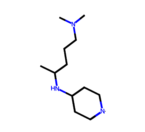 CC(CCCN(C)C)NC1CC[N]CC1